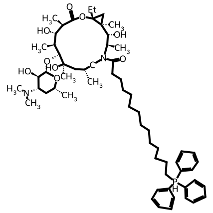 CC[C@@]12C[C@@]1(C)[C@H](O)[C@@H](C)N(C(=O)CCCCCCCCCCCCC[PH](c1ccccc1)(c1ccccc1)c1ccccc1)C[C@H](C)C[C@@](C)(O)[C@H](O[C@@H]1O[C@H](C)C[C@H](N(C)C)[C@H]1O)[C@@H](C)[C@H](O)[C@@H](C)C(=O)O2